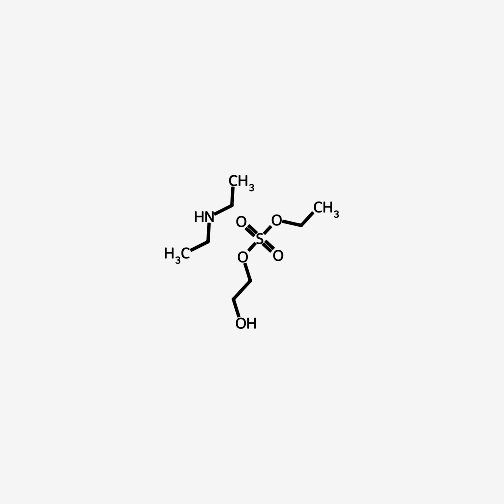 CCNCC.CCOS(=O)(=O)OCCO